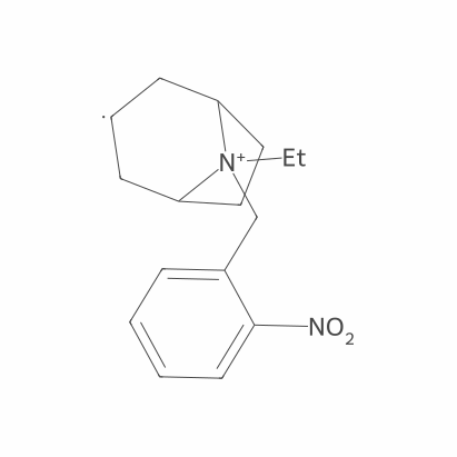 CC[N+]1(Cc2ccccc2[N+](=O)[O-])C2C[CH]CC1CC2